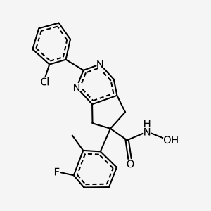 Cc1c(F)cccc1C1(C(=O)NO)Cc2cnc(-c3ccccc3Cl)nc2C1